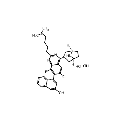 CN(C)CCCCc1nc(N2C[C@H]3CC[C@@H](C2)N3)c2cc(Cl)c(-c3cc(O)cc4ccccc34)c(F)c2n1.Cl.Cl